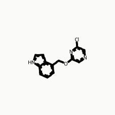 Clc1cncc(OCc2cccc3[nH]ccc23)n1